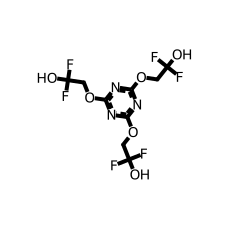 OC(F)(F)COc1nc(OCC(O)(F)F)nc(OCC(O)(F)F)n1